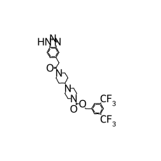 O=C(Cc1ccc2[nH]nnc2c1)N1CCC(N2CCN(C(=O)OCc3cc(C(F)(F)F)cc(C(F)(F)F)c3)CC2)CC1